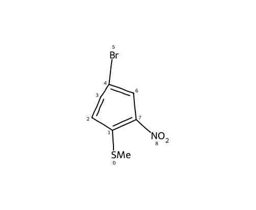 CSc1ccc(Br)cc1[N+](=O)[O-]